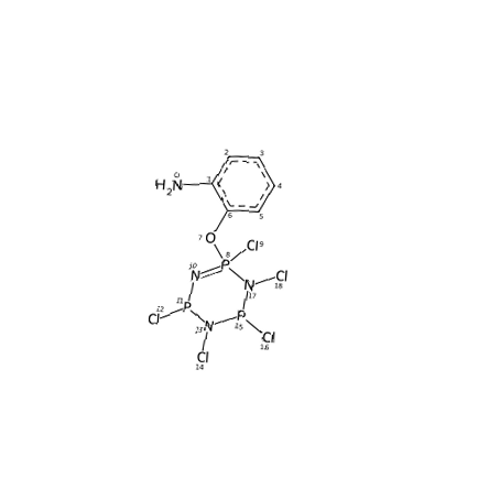 Nc1ccccc1OP1(Cl)=NP(Cl)N(Cl)P(Cl)N1Cl